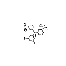 CS(=O)(=O)c1cccc([SH](c2cc(F)cc(F)c2)c2cccc(S(C)(=O)=O)c2)c1